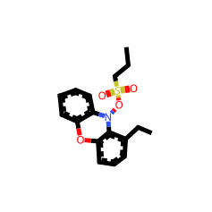 CCCS(=O)(=O)ON1c2ccccc2Oc2cccc(CC)c21